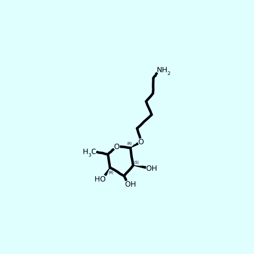 CC1O[C@@H](OCCCCCN)[C@@H](O)C(O)[C@H]1O